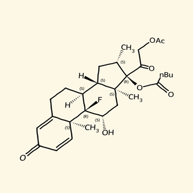 CCCCC(=O)O[C@]1(C(=O)COC(C)=O)[C@@H](C)C[C@H]2[C@@H]3CCC4=CC(=O)C=C[C@]4(C)[C@@]3(F)[C@@H](O)C[C@@]21C